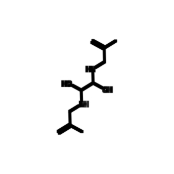 C=C(C)CNC(O)C(O)NCC(=C)C